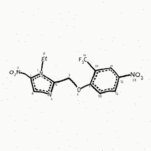 CCn1c([N+](=O)[O-])cnc1COc1ccc([N+](=O)[O-])cc1C(F)(F)F